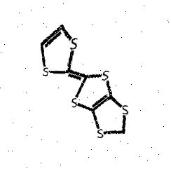 C1=CSC(=C2SC3=C(SCS3)S2)S1